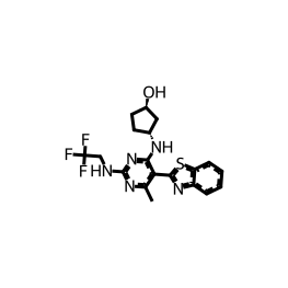 Cc1nc(NCC(F)(F)F)nc(N[C@@H]2CC[C@@H](O)C2)c1-c1nc2ccccc2s1